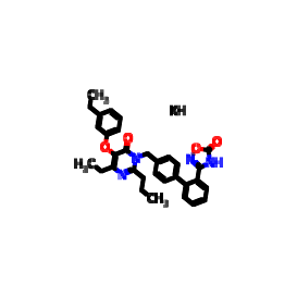 CCCc1nc(CC)c(Oc2cccc(CC)c2)c(=O)n1Cc1ccc(-c2ccccc2-c2noc(=O)[nH]2)cc1.[KH]